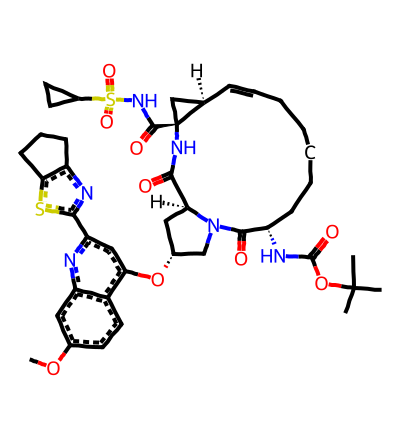 COc1ccc2c(O[C@@H]3C[C@H]4C(=O)N[C@]5(C(=O)NS(=O)(=O)C6CC6)C[C@H]5/C=C\CCCCC[C@H](NC(=O)OC(C)(C)C)C(=O)N4C3)cc(-c3nc4c(s3)CCC4)nc2c1